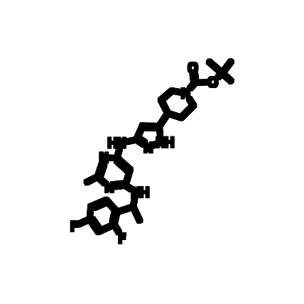 Cc1nc(Nc2cc(C3CCN(C(=O)OC(C)(C)C)CC3)[nH]n2)cc(NC(C)c2ccc(F)cc2F)n1